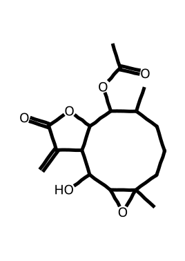 C=C1C(=O)OC2C(OC(C)=O)C(C)CCCC3(C)OC3C(O)C12